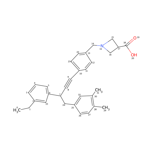 CCc1cccc(C(C#Cc2ccc(CN3CC(C(=O)O)C3)cc2)Cc2ccc(C)c(C)c2)c1